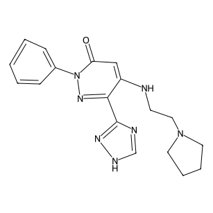 O=c1cc(NCCN2CCCC2)c(-c2nc[nH]n2)nn1-c1ccccc1